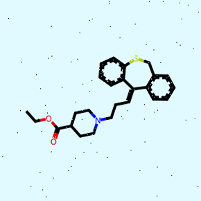 CCOC(=O)C1CCN(CCC=C2c3ccccc3CSc3ccccc32)CC1